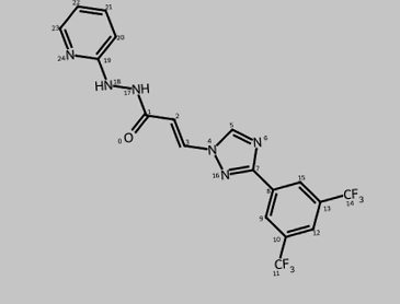 O=C(C=Cn1cnc(-c2cc(C(F)(F)F)cc(C(F)(F)F)c2)n1)NNc1ccccn1